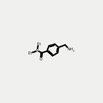 CCN(CC)C(=O)c1ccc(CN)cc1